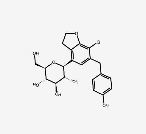 OC[C@H]1O[C@@H](c2cc(Cc3ccc(O)cc3)c(Cl)c3c2CCO3)[C@H](O)[C@@H](O)[C@@H]1O